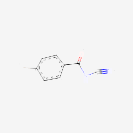 N#CNC(=O)c1ccc(Br)cc1